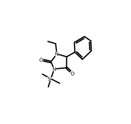 CCN1C(=O)N([Si](C)(C)C)C(=O)C1c1ccccc1